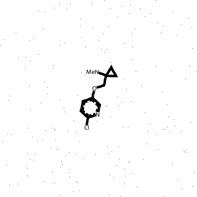 CNC1(COc2ccc(Cl)nc2)CC1